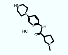 CN1CCC(C(=O)Nc2ccc(N3CCNCC3)cn2)C1.Cl